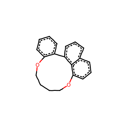 c1ccc2c(c1)OCCCCOc1cccc3cccc-2c13